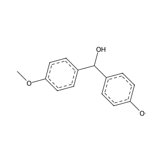 COc1ccc(C(O)c2ccc([O])cc2)cc1